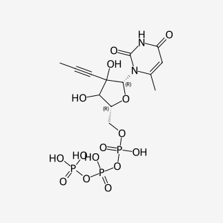 CC#CC1(O)C(O)[C@@H](COP(=O)(O)OP(=O)(O)OP(=O)(O)O)O[C@H]1n1c(C)cc(=O)[nH]c1=O